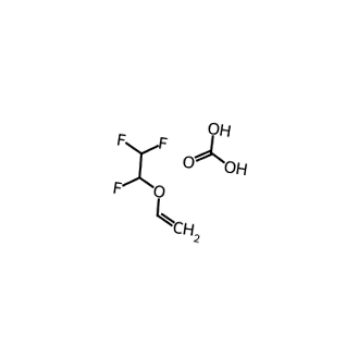 C=COC(F)C(F)F.O=C(O)O